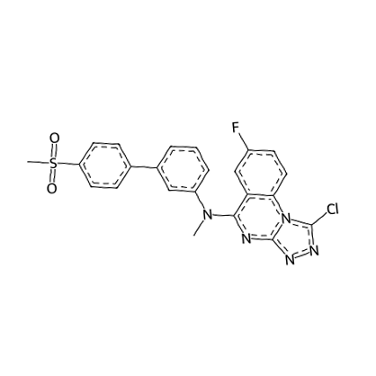 CN(c1cccc(-c2ccc(S(C)(=O)=O)cc2)c1)c1nc2nnc(Cl)n2c2ccc(F)cc12